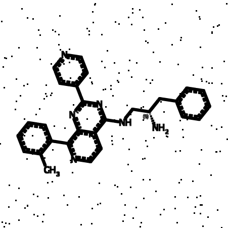 Cc1ccccc1-c1nccc2c(NC[C@@H](N)Cc3ccccc3)nc(-c3ccncc3)nc12